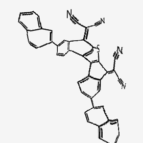 N#CC(C#N)=C1c2cc(-c3ccc4ccccc4c3)ccc2-c2c1sc1c2-c2ccc(-c3ccc4ccccc4c3)cc2C1=C(C#N)C#N